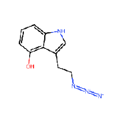 [N-]=[N+]=NCCc1c[nH]c2cccc(O)c12